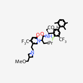 COCC1CN(CCc2cn(C(CC(C)C)C(=O)N[C@@H](CC(=O)O)c3cc(-c4c(C)ccc(C)c4C)cc(C(F)(F)F)c3F)c(=O)cc2C(F)(F)F)C1